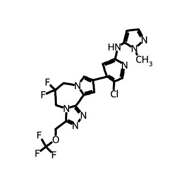 Cn1nccc1Nc1cc(-c2cc3n(c2)CC(F)(F)Cn2c(COC(F)(F)F)nnc2-3)c(Cl)cn1